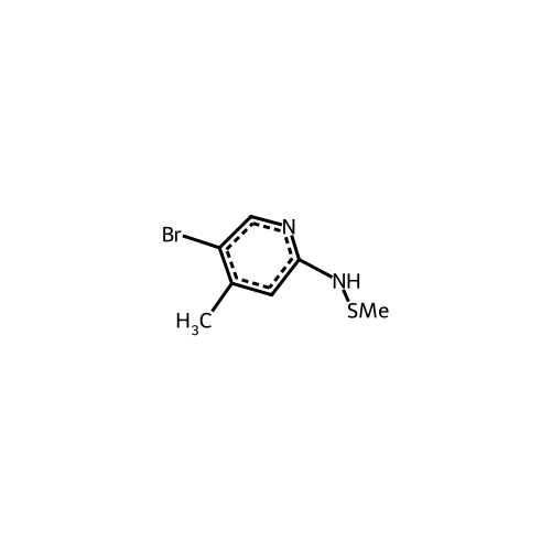 CSNc1cc(C)c(Br)cn1